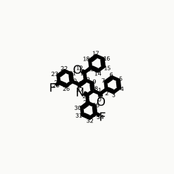 O=C(c1ccccc1)c1cc(C(=O)c2ccccc2)c(-c2cccc(F)c2)nc1-c1cccc(F)c1